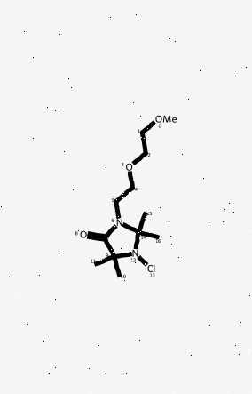 COCCOCCN1C(=O)C(C)(C)N(Cl)C1(C)C